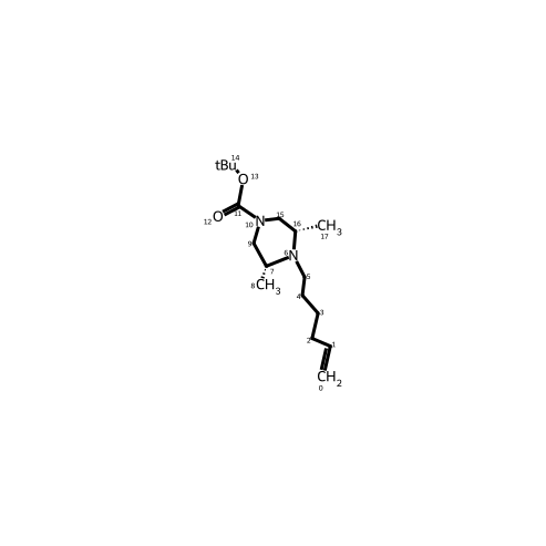 C=CCCCCN1[C@H](C)CN(C(=O)OC(C)(C)C)C[C@@H]1C